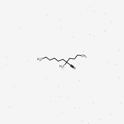 CCCCCCC(C)(C#N)CCCC